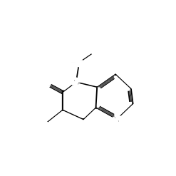 CPN1C(=O)C(C)Cc2ncccc21